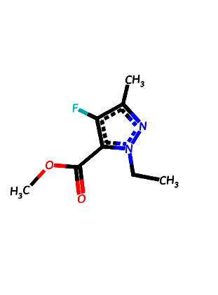 CCn1nc(C)c(F)c1C(=O)OC